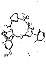 Cc1cccc(C)c1-c1cc2nc(n1)NS(=O)(=O)c1cccc(c1)C(=O)N(C13CC(C1)C3c1ncc(OC(C)C)cc1F)[C@H](CC(C)(C)C)CO2